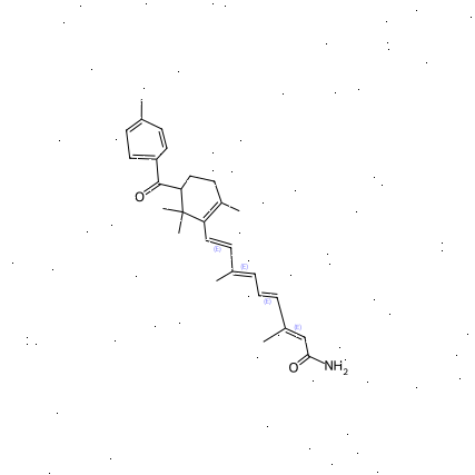 CC1=C(/C=C/C(C)=C/C=C/C(C)=C/C(N)=O)C(C)(C)C(C(=O)c2ccc(C)cc2)CC1